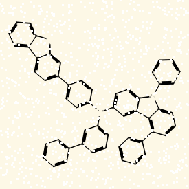 c1ccc(-c2cccc(N(c3ccc(-c4ccc5c(c4)sc4ccccc45)cc3)c3ccc4c(c3)c3c(-c5ccccc5)cccc3n4-c3ccccc3)c2)cc1